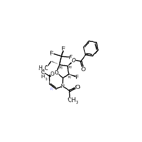 CC[C@@]1(C(F)(F)F)OC(N(/C=C\C(C)=O)C(C)=O)[C@H](F)[C@@H]1OC(=O)c1ccccc1